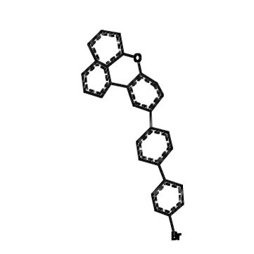 Brc1ccc(-c2ccc(-c3ccc4c(c3)-c3cccc5cccc(c35)O4)cc2)cc1